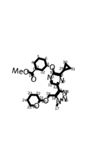 COC(=O)[C@H]1CCC[C@H](Oc2ncc(-c3nnn(C)c3COC3CCCCO3)nc2C2CC2)C1